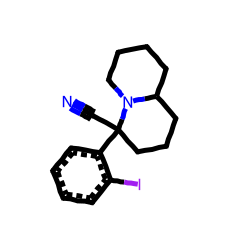 N#CC1(c2ccccc2I)CCCC2CCCCN21